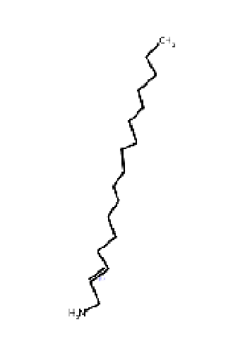 CCCCCCCCCCCCCC/C=C/CN